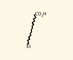 CCC=CCC=CCCCCCCC=CCCCCC(=O)O